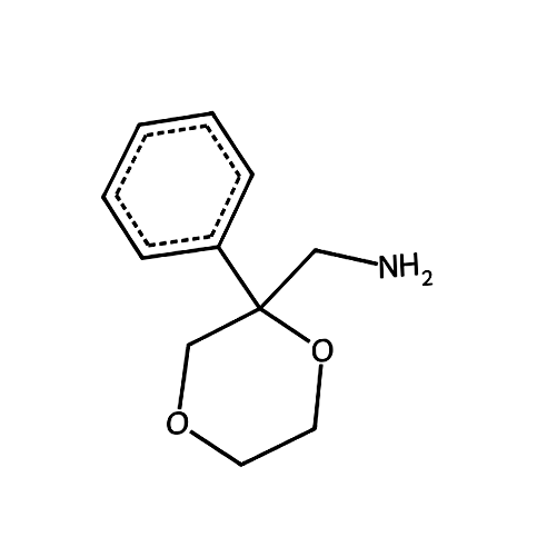 NCC1(c2ccccc2)COCCO1